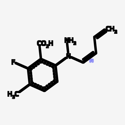 C=C/C=C\N(N)c1ccc(C)c(F)c1C(=O)O